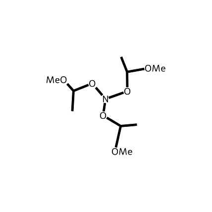 COC(C)ON(OC(C)OC)OC(C)OC